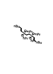 CCCCC=C[Si](CC[Si](C=CCCCC)(OCCC)OCCC)(OCCC)OCCC